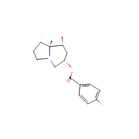 O=C(O[C@H]1CN2CC[C@H](O)[C@@H]2[C@@H](O)[C@@H]1O)c1ccc(F)cc1